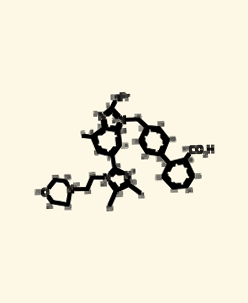 CCCc1nc2c(C)cc(-c3nc(C)c(C)n3CCN3CCOCC3)cc2n1Cc1ccc(-c2ccccc2C(=O)O)cc1